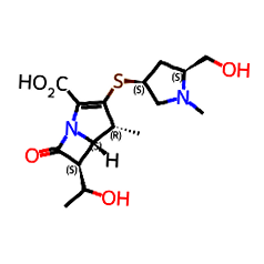 CC(O)[C@H]1C(=O)N2C(C(=O)O)=C(S[C@H]3C[C@@H](CO)N(C)C3)[C@H](C)[C@H]12